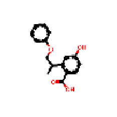 CC(COc1ccccc1)c1cc(O)ccc1C(=O)O